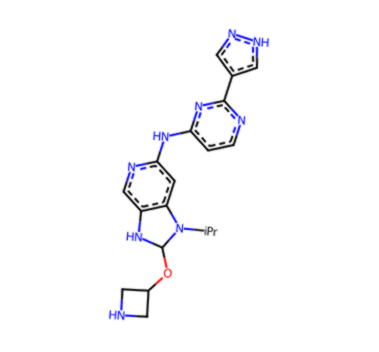 CC(C)N1c2cc(Nc3ccnc(-c4cn[nH]c4)n3)ncc2NC1OC1CNC1